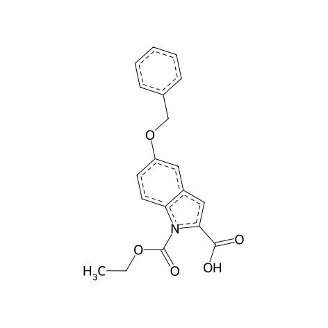 CCOC(=O)n1c(C(=O)O)cc2cc(OCc3ccccc3)ccc21